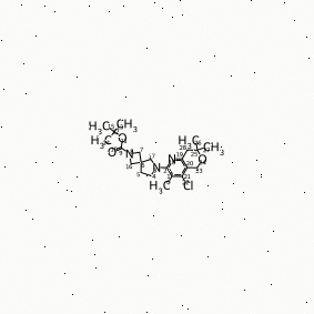 Cc1c(N2CCC3(CN(C(=O)OC(C)(C)C)C3)C2)nc2c(c1Cl)COC(C)(C)C2